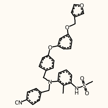 [C-]#[N+]c1ccc(CN(Cc2ccc(Oc3cccc(OCc4ccoc4)c3)cc2)c2cccc(NS(C)(=O)=O)c2C)cc1